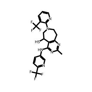 Cc1nc2c(c(Nc3ccc(C(F)(F)F)nc3)n1)C(S)CN(c1ncccc1C(F)(F)F)CC2